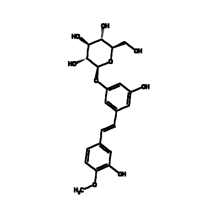 COc1ccc(C=Cc2cc(O)cc(O[C@@H]3O[C@H](CO)[C@@H](O)[C@H](O)[C@H]3O)c2)cc1O